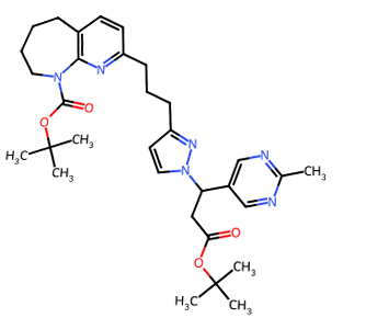 Cc1ncc(C(CC(=O)OC(C)(C)C)n2ccc(CCCc3ccc4c(n3)N(C(=O)OC(C)(C)C)CCCC4)n2)cn1